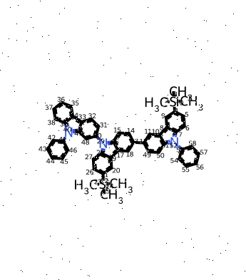 C[Si](C)(C)c1ccc2c(c1)c1cc(-c3ccc4c(c3)c3cc([Si](C)(C)C)ccc3n4-c3ccc4c5ccccc5n(-c5ccccc5)c4c3)ccc1n2-c1ccccc1